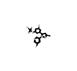 Cc1cc(-c2cc(F)cc(OC(F)(F)F)c2)n(-c2cncc(F)c2)n1